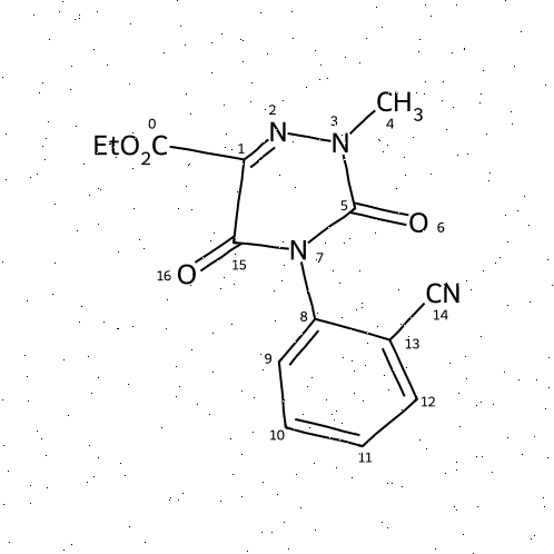 CCOC(=O)c1nn(C)c(=O)n(-c2ccccc2C#N)c1=O